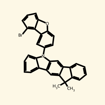 CC1(C)c2ccccc2-c2cc3c(cc21)c1ccccc1n3-c1ccc2oc3cccc(Br)c3c2c1